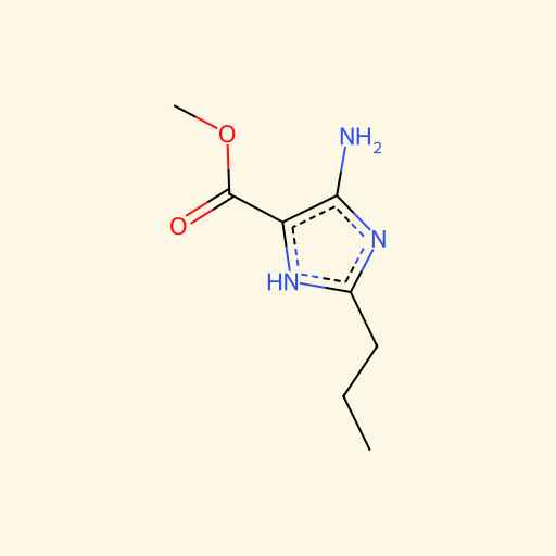 CCCc1nc(N)c(C(=O)OC)[nH]1